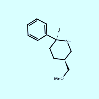 COC[C@H]1CC[C@@](I)(c2ccccc2)NC1